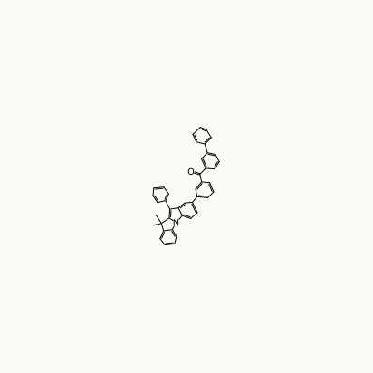 CC1(C)c2ccccc2-n2c1c(-c1ccccc1)c1cc(-c3cccc(C(=O)c4cccc(-c5ccccc5)c4)c3)ccc12